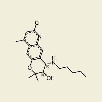 CCCCCN[C@H]1c2cc3nc(Cl)cc(C)c3cc2OC(C)(C)[C@@H]1O